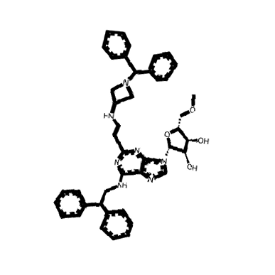 COC[C@H]1O[C@@H](n2cnc3c(NCC(c4ccccc4)c4ccccc4)nc(CCNC4CN(C(c5ccccc5)c5ccccc5)C4)nc32)[C@H](O)[C@@H]1O